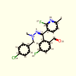 Cc1ccc(/C(=N/N(C)Cc2ccc(Cl)cc2)c2cc(F)ccc2C=O)c(F)n1